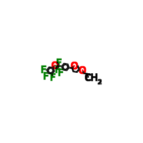 C=CCOC1CCC(c2ccc(C(F)(F)Oc3cc(F)c(F)c(F)c3)c(F)c2)OC1